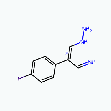 N=C/C(=C\NN)c1ccc(I)cc1